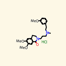 COc1cccc(CCN(C)CCCN2CCc3cc(OC)c(OC)cc3C2=O)c1.Cl